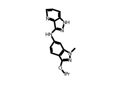 CC(C)Oc1nn(C)c2cc(Nc3n[nH]c4cccnc34)ccc12